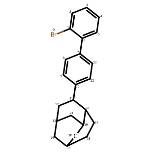 Brc1ccccc1-c1ccc(C2CC3CC4CCC2C(C4)C3)cc1